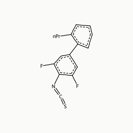 CCCc1ccccc1-c1cc(F)c(N=C=S)c(F)c1